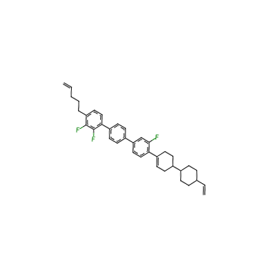 C=CCCCc1ccc(-c2ccc(-c3ccc(C4=CCC(C5CCC(C=C)CC5)CC4)c(F)c3)cc2)c(F)c1F